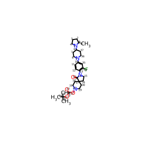 C[C@H]1CCCN1C1CCN(c2ccc(N3CCC4(CCN(OC(=O)OC(C)(C)C)CC4)C3=O)c(F)c2)CC1